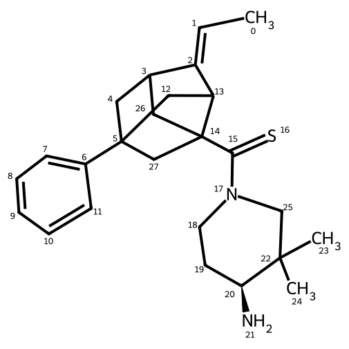 C/C=C1/C2CC3(c4ccccc4)CC1C(C(=S)N1CC[C@H](N)C(C)(C)C1)(C2)C3